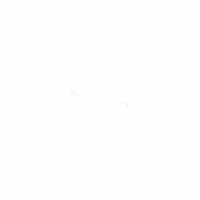 Nc1ccc(Oc2ccc([N+](=O)[O-])cc2)c(Cl)c1